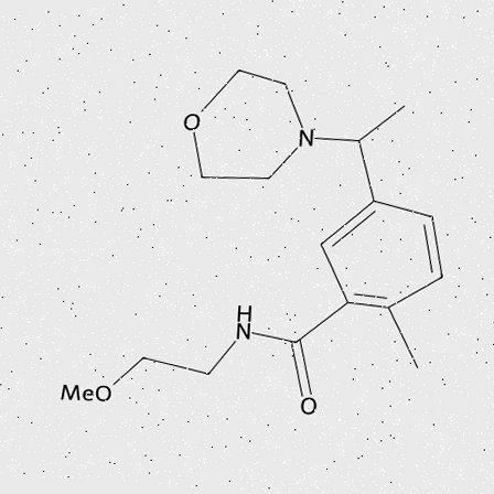 COCCNC(=O)c1cc(C(C)N2CCOCC2)ccc1C